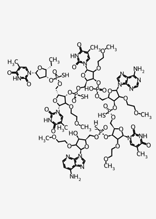 CC[C@H]1O[C@@H](n2cc(C)c(=O)[nH]c2=O)C[C@H]1OP(=O)(S)OC[C@H]1O[C@@H](n2cc(C)c(=O)[nH]c2=O)C(OCCOC)[C@H]1OP(=O)(S)OC[C@H]1O[C@@H](n2cc(C)c(=O)[nH]c2=O)C(OCCOC)[C@H]1OP(=O)(O)OC[C@H]1O[C@@H](n2cnc3c(N)ncnc32)C(OCCOC)[C@H]1OP(=O)(S)OC[C@H]1O[C@@H](n2cc(C)c(=O)[nH]c2=O)C(OCCOC)[C@H]1OP(=O)(S)OC[C@H]1O[C@@H](n2cnc3c(N)ccnc32)C(OCCOC)[C@H]1O